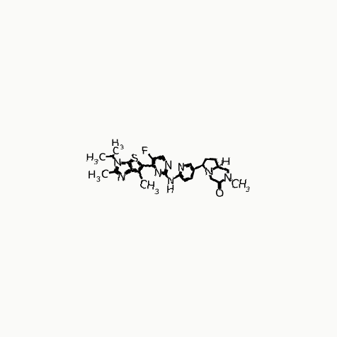 Cc1c(-c2nc(Nc3ccc(C4CC[C@H]5CN(C)C(=O)CN45)cn3)ncc2F)sc2c1nc(C)n2C(C)C